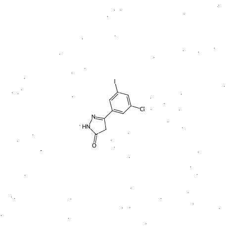 O=C1CC(c2cc(Cl)cc(I)c2)=NN1